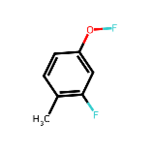 Cc1ccc(OF)cc1F